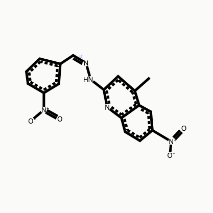 Cc1cc(N/N=C\c2cccc([N+](=O)[O-])c2)nc2ccc([N+](=O)[O-])cc12